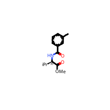 COC(=O)[C@H](NC(=O)c1cccc(C)c1)C(C)C